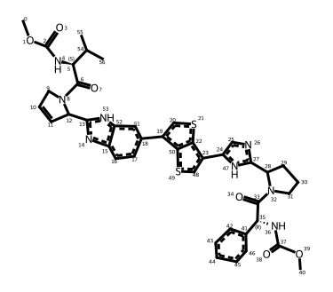 COC(=O)N[C@H](C(=O)N1CC=CC1c1nc2ccc(-c3csc4c(-c5cnc(C6CCCN6C(=O)[C@H](NC(=O)OC)c6ccccc6)[nH]5)csc34)cc2[nH]1)C(C)C